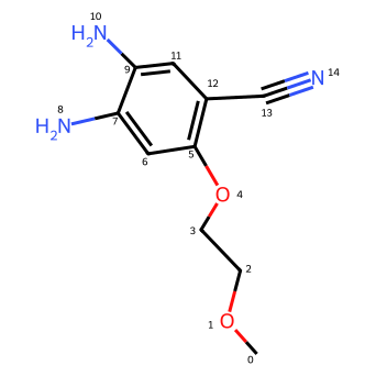 COCCOc1cc(N)c(N)cc1C#N